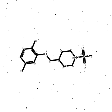 Cc1ccc(C)c(OCC2CCN(S(C)(=O)=O)CC2)c1